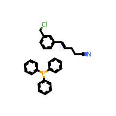 N#CCC/C=C/c1cccc(CCl)c1.c1ccc(P(c2ccccc2)c2ccccc2)cc1